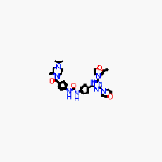 CC1CN(c2nc(-c3ccc(NC(=O)Nc4ccc(C(=O)N5CCN(C(C)C)CC5C)cc4)cc3)nc(N3CCOCC3)n2)CCO1